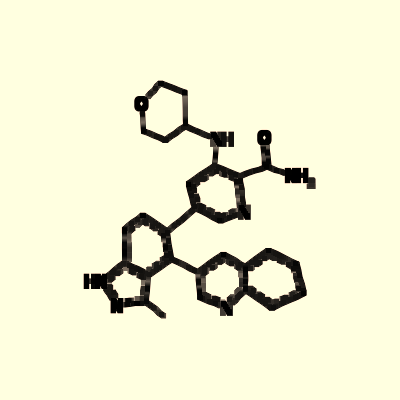 Cc1n[nH]c2ccc(-c3cnc(C(N)=O)c(NC4CCOCC4)c3)c(-c3cnc4ccccc4c3)c12